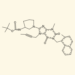 CC#CCn1c(N2CCCC(NC(=O)OC(C)(C)C)C2)nc2c1c(=O)n(Cc1c(C)ccc3ccccc13)c(=O)n2C